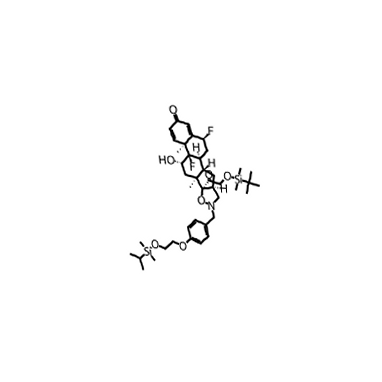 CC(C)[Si](C)(C)OCCOc1ccc(CN2C[C@@H]3C[C@H]4[C@@H]5C[C@H](F)C6=CC(=O)C=C[C@]6(C)[C@@]5(F)[C@@H](O)C[C@]4(C)[C@]3(C(=O)CO[Si](C)(C)C(C)(C)C)O2)cc1